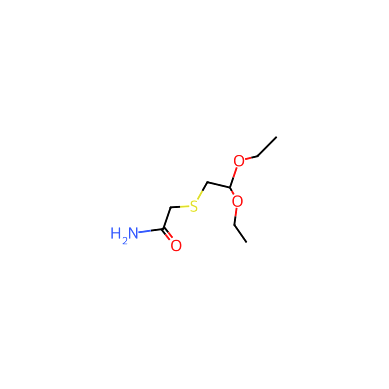 CCOC(CSCC(N)=O)OCC